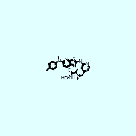 Cc1ccc(N(C)c2ccc3nc(Nc4cc(CN(C)C(C)C(=O)NO)ccn4)sc3n2)cc1